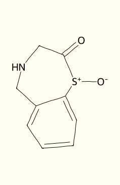 O=C1CNCc2ccccc2[S+]1[O-]